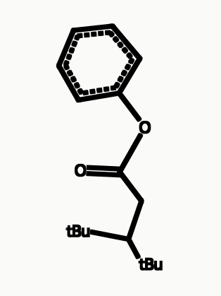 CC(C)(C)C(CC(=O)Oc1ccccc1)C(C)(C)C